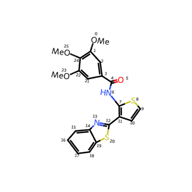 COc1cc(C(=O)Nc2sccc2-c2nc3ccccc3s2)cc(OC)c1OC